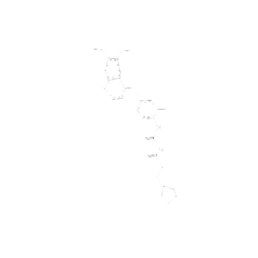 COc1cc2nccc(Oc3ccc(NC(=S)NC(=O)CCC4CCCC4)c(F)c3)c2cc1OC